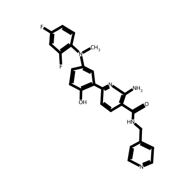 CN(c1ccc(O)c(-c2ccc(C(=O)NCc3ccncc3)c(N)n2)c1)c1ccc(F)cc1F